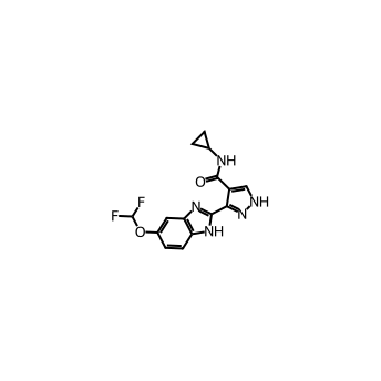 O=C(NC1CC1)c1c[nH]nc1-c1nc2cc(OC(F)F)ccc2[nH]1